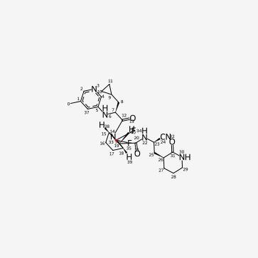 Cc1cncc(N[C@@H](CC2CC2)C(=O)N2[C@H]3CC[C@@H]([C@H]2C(=O)N[C@@H](C#N)C[C@@H]2CCCNC2=O)C(F)(F)C3)c1